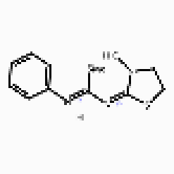 CSC(=N\c1ccccc1)/N=C1/SCCN1C.I